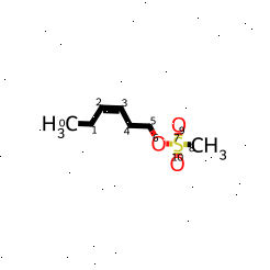 CC/C=C\CCOS(C)(=O)=O